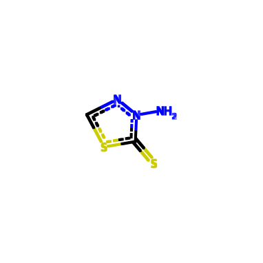 Nn1ncsc1=S